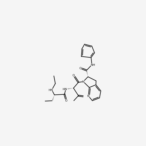 C=C(C)[C@H](NC(=O)[C@H](CC)NCC)C(=O)N1c2ncccc2C[C@H]1C(=O)Nc1ccccc1